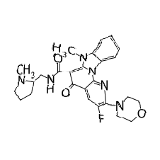 CN1CCCC1CNC(=O)c1c(=O)c2cc(F)c(N3CCOCC3)nc2n2c3ccccc3n(C)c12